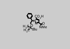 CNC(=O)c1cc(C(=O)O)n(C(CO[Si](C)(C)C(C)(C)C)c2ccccc2)n1